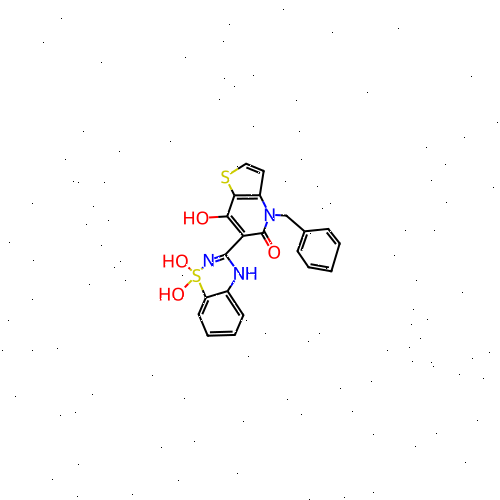 O=c1c(C2=NS(O)(O)c3ccccc3N2)c(O)c2sccc2n1Cc1ccccc1